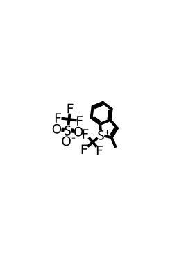 Cc1cc2ccccc2[s+]1C(F)(F)F.O=S(=O)([O-])C(F)(F)F